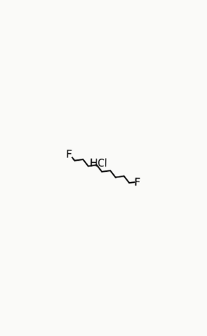 Cl.FCCCCCCCCCF